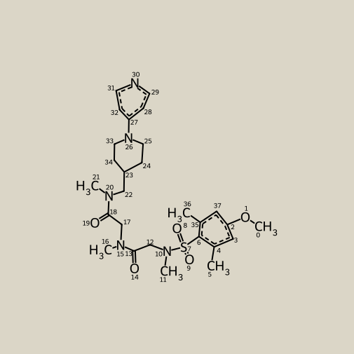 COc1cc(C)c(S(=O)(=O)N(C)CC(=O)N(C)CC(=O)N(C)CC2CCN(c3ccncc3)CC2)c(C)c1